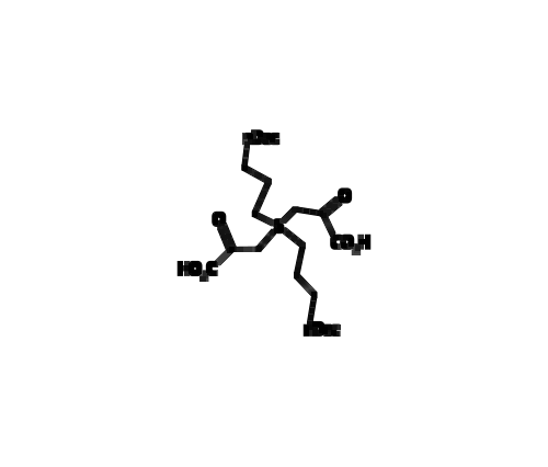 CCCCCCCCCCCCCS(CCCCCCCCCCCCC)(CC(=O)C(=O)O)CC(=O)C(=O)O